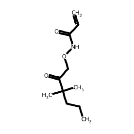 C=CC(=O)NOCC(=O)C(C)(C)CCC